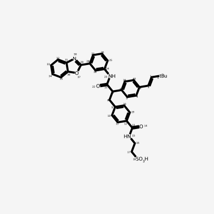 CC(C)(C)/C=C/c1ccc(C(Cc2ccc(C(=O)NCCS(=O)(=O)O)cc2)C(=O)Nc2cccc(-c3nc4ccccc4o3)c2)cc1